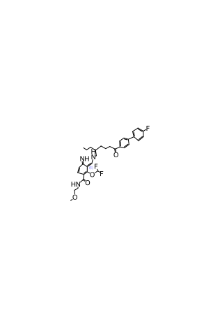 CCCC(CCCC(=O)c1ccc(-c2ccc(F)cc2)cc1)CN/C=C1\C(=N)C=CC(C(=O)NCCOC)=C1OC(F)F